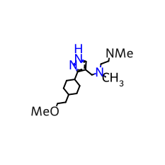 CNCCN(C)Cc1c[nH]nc1C1CCC(CCOC)CC1